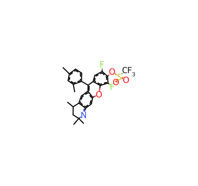 Cc1ccc(C2=c3cc4c(cc3Oc3c2cc(F)c(OS(=O)(=O)C(F)(F)F)c3F)=NC(C)(C)CC4C)c(C)c1